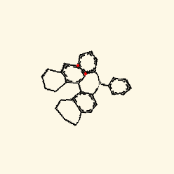 Cc1ccc2c(c1-c1c(P(c3ccccc3)c3ccccc3)ccc3c1CCCC3)CCCC2